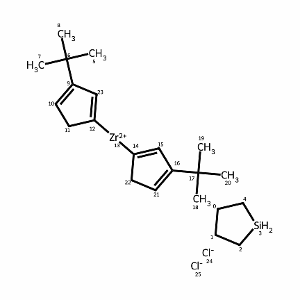 C1CC[SiH2]C1.CC(C)(C)C1=CC[C]([Zr+2][C]2=CC(C(C)(C)C)=CC2)=C1.[Cl-].[Cl-]